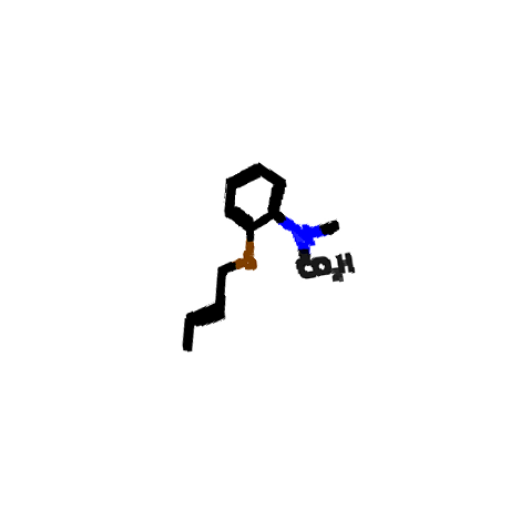 C/C=C/CSc1ccccc1N(C)C(=O)O